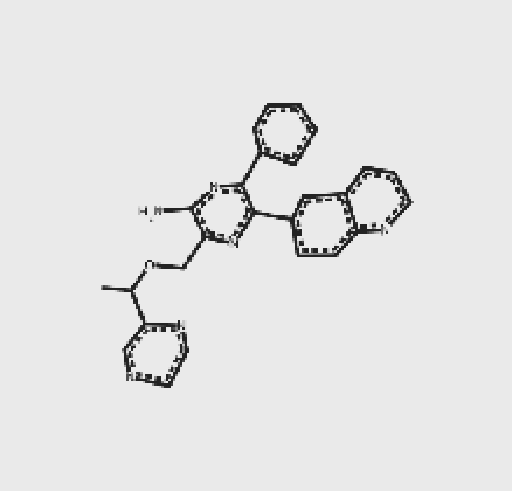 CC(OCc1nc(-c2ccc3ncccc3c2)c(-c2ccccc2)nc1N)c1cnccn1